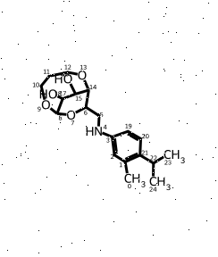 Cc1cc(NCC2OC3OCCCOC2C(O)C3O)ccc1C(C)C